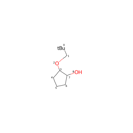 CC(C)(C)COC1CCCC1O